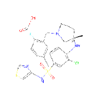 Cc1ccc(F)c(CN2CC[C@](C)(Nc3ccc(S(=O)(=O)Nc4cscn4)cc3Cl)C2)c1.O=CO